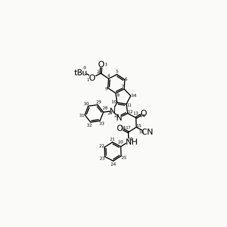 CC(C)(C)OC(=O)c1ccc2c(c1)-c1c(c(C(=O)C(C#N)C(=O)Nc3ccccc3)nn1-c1ccccc1)C2